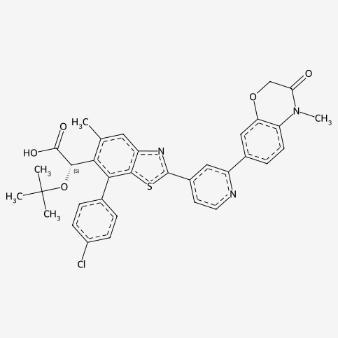 Cc1cc2nc(-c3ccnc(-c4ccc5c(c4)OCC(=O)N5C)c3)sc2c(-c2ccc(Cl)cc2)c1[C@H](OC(C)(C)C)C(=O)O